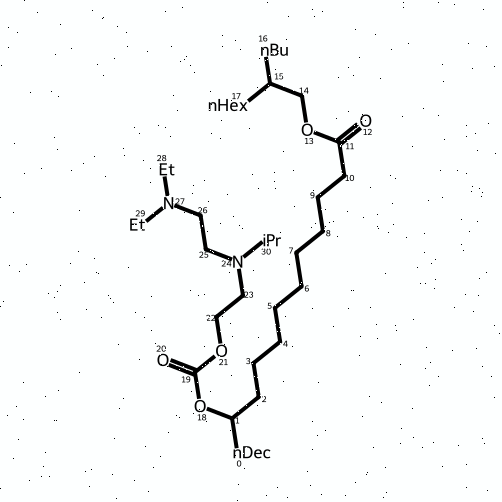 CCCCCCCCCCC(CCCCCCCCCC(=O)OCC(CCCC)CCCCCC)OC(=O)OCCN(CCN(CC)CC)C(C)C